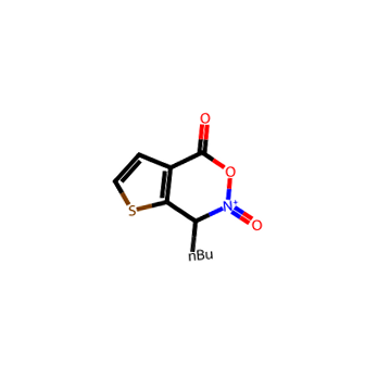 CCCCC1c2sccc2C(=O)O[N+]1=O